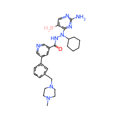 Bc1cnc(N)nc1N(NC(=O)c1cncc(-c2cccc(CN3CCN(C)CC3)c2)c1)C1CCCCC1